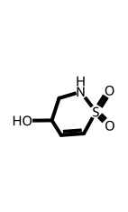 O=S1(=O)C=CC(O)CN1